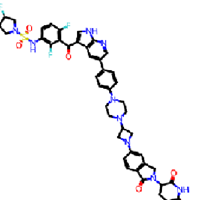 O=C1CCC(N2Cc3cc(N4CC(N5CCN(c6ccc(-c7cnc8[nH]cc(C(=O)c9c(F)ccc(NS(=O)(=O)N%10CC[C@@H](F)C%10)c9F)c8c7)cc6)CC5)C4)ccc3C2=O)C(=O)N1